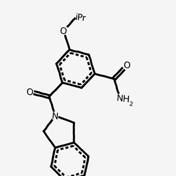 CC(C)Oc1cc(C(N)=O)cc(C(=O)N2Cc3ccccc3C2)c1